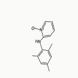 Cc1cc(C)c(Nc2cccc[n+]2[O-])c(C)c1